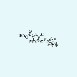 CC(C)(C)OC(=O)c1cc(Cl)c(OCC23CCC(F)(CC2)CC3)cc1F